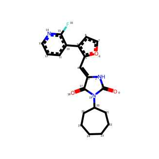 O=C1NC(=Cc2occc2-c2cccnc2F)C(=O)N1C1CCCCCC1